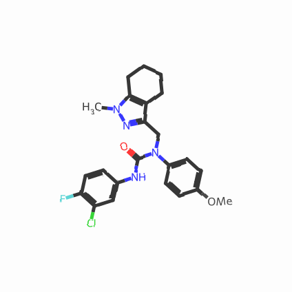 COc1ccc(N(Cc2nn(C)c3c2CCCC3)C(=O)Nc2ccc(F)c(Cl)c2)cc1